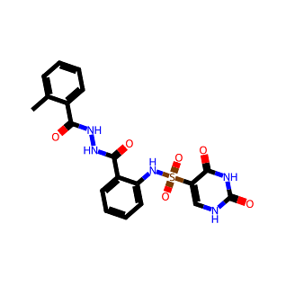 Cc1ccccc1C(=O)NNC(=O)c1ccccc1NS(=O)(=O)c1c[nH]c(=O)[nH]c1=O